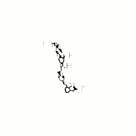 CC(C)(C)OC(=O)N1CCN(c2ccc(NCCC(=O)N3CCC(CSc4cccc5cc(C(F)(F)F)cnc45)CC3)cc2C(F)(F)F)CC1